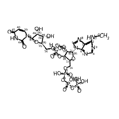 CNc1ncnc2c1ncn2[C@@H]1OC(COP(=O)(O)OP(=O)(O)OP(=O)(O)O)[C@@H](OP(=O)(O)OC[C@H]2O[C@@H](n3ccc(=O)[nH]c3=O)[C@H](O)[C@@H]2O)[C@H]1OC